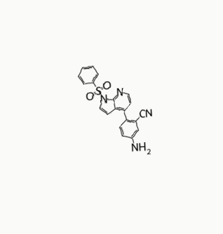 N#Cc1cc(N)ccc1-c1ccnc2c1ccn2S(=O)(=O)c1ccccc1